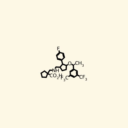 C[C@H](OC1CCC(CNCC2(C(=O)O)CCCC2)C1c1ccc(F)cc1)c1cc(C(F)(F)F)cc(C(F)(F)F)c1